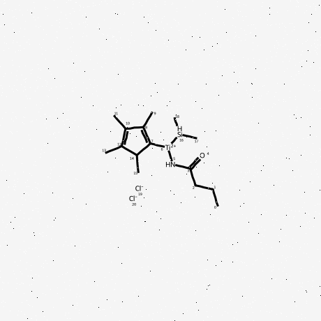 CCCC(=O)[NH][Ti+2]([C]1=C(C)C(C)=C(C)C1C)[SiH](C)C.[Cl-].[Cl-]